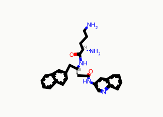 NCCC[C@H](N)C(=O)N[C@H](CC(=O)Nc1cnc2ccccc2c1)Cc1ccc2ccccc2c1